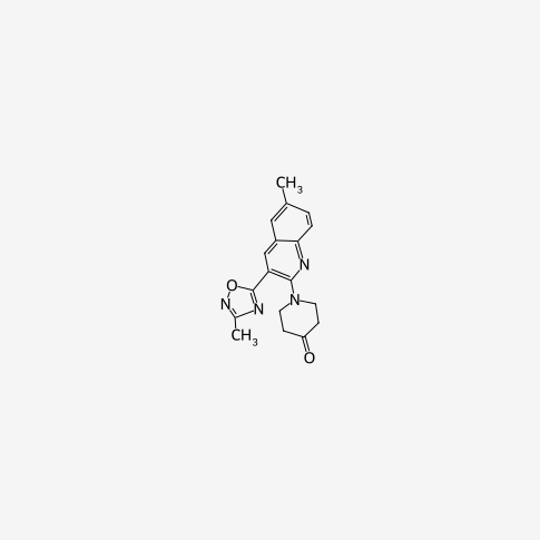 Cc1ccc2nc(N3CCC(=O)CC3)c(-c3nc(C)no3)cc2c1